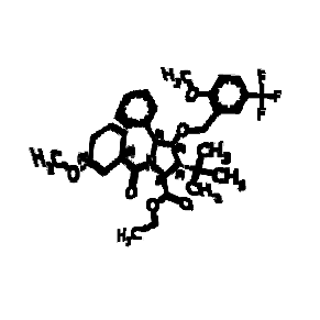 CCOC(=O)[C@@H]1[C@@H](C(C)(C)C)[C@H](OCc2cc(C(F)(F)F)ccc2OC)[C@H](c2ccccc2)N1C(=O)[C@@H]1CCC[C@@H](OC)C1